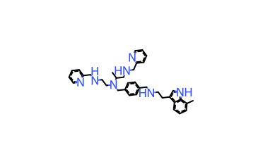 Cc1cccc2c(CCNCc3ccc(CN(CCNCc4ccccn4)C(C)CNCc4ccccn4)cc3)c[nH]c12